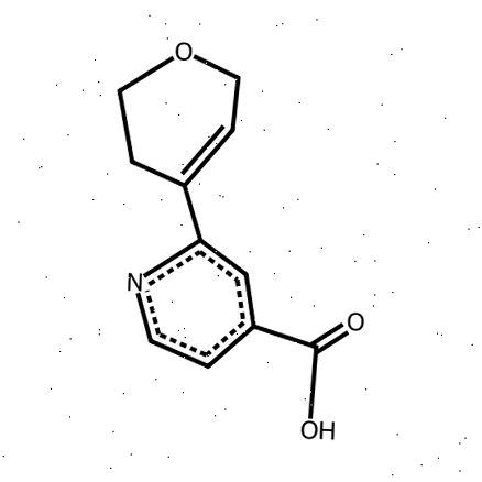 O=C(O)c1ccnc(C2=CCOCC2)c1